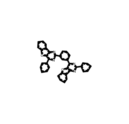 c1ccc(-c2nc(-c3cccc(-c4nc(-c5ccccc5)c5oc6ccccc6c5n4)c3)c3oc4ccccc4c3n2)cc1